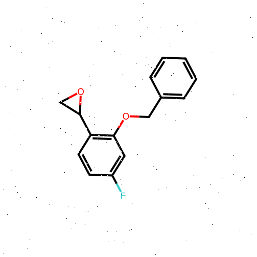 Fc1ccc(C2CO2)c(OCc2ccccc2)c1